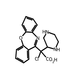 O=C(O)C(Cl)(C1=Nc2ccccc2Oc2ccccc21)C1CNCCN1